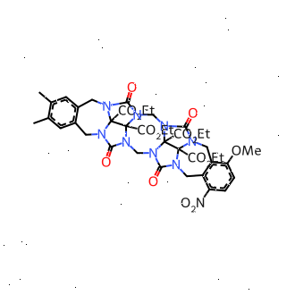 CCOC(=O)C12N3Cc4cc(C)c(C)cc4CN1C(=O)N1CN4C(=O)N5Cc6c([N+](=O)[O-])ccc(OC)c6CN6C(=O)N(CN(C3=O)C12C(=O)OCC)C4(C(=O)OCC)C65C(=O)OCC